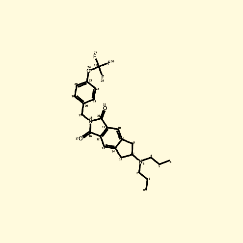 CCCN(CCC)C1Cc2cc3c(cc2C1)C(=O)N(Cc1ccc(OC(F)(F)F)cc1)C3=O